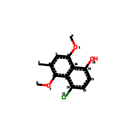 COc1cc(C)c(OC)c2c(Cl)ccc(O)c12